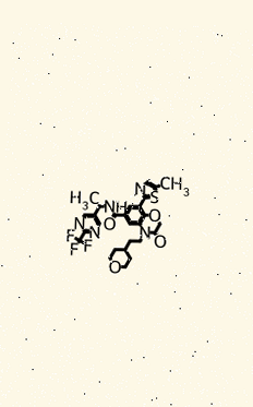 Cc1cnc(-c2cc(C(=O)N[C@H](C)c3cnc(C(F)(F)F)nc3)cc3c2OCC(=O)N3CCC2CCOCC2)s1